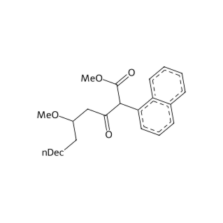 CCCCCCCCCCCC(CC(=O)C(C(=O)OC)c1cccc2ccccc12)OC